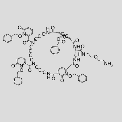 NCCOCCNC(=O)C1CNC(=O)c2ccc(c(=O)n2OCc2ccccc2)C(=O)NCCCN(C(=O)c2cccc(=O)n2OCc2ccccc2)CCCCN(C(=O)c2cccc(=O)n2OCc2ccccc2)CCCNC(=O)c2ccc(n(OCc3ccccc3)c2=O)C(=O)N1